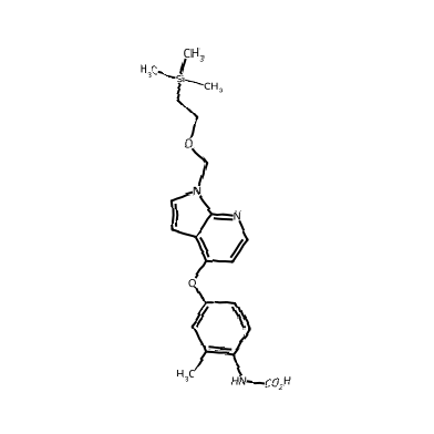 Cc1cc(Oc2ccnc3c2ccn3COCC[Si](C)(C)C)ccc1NC(=O)O